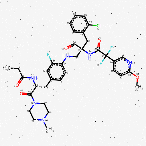 CCC(=O)N[C@H](Cc1ccc(NC[C@@](C=O)(Cc2ccccc2Cl)NC(=O)C(F)(F)c2ccc(OC)nc2)c(F)c1)C(=O)N1CCN(C)CC1